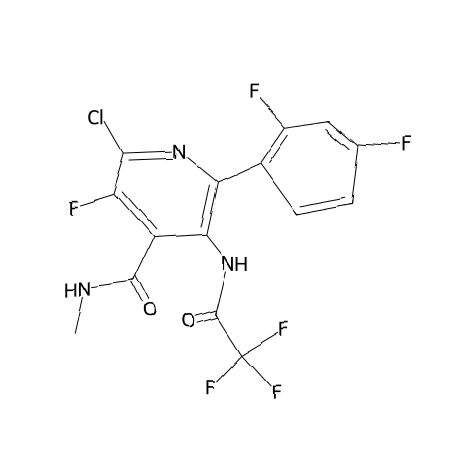 CNC(=O)c1c(F)c(Cl)nc(-c2ccc(F)cc2F)c1NC(=O)C(F)(F)F